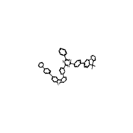 CC1(C)c2ccccc2-c2cc(-c3ccc(-c4nc(-c5ccccc5)nc(-c5cccc(-c6cccc7oc8ccc(-c9ccc(-c%10ccccc%10)cc9)cc8c67)c5)n4)cc3)ccc21